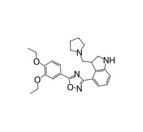 CCOc1ccc(-c2nc(-c3cccc4c3C(CN3CCCC3)CN4)no2)cc1OCC